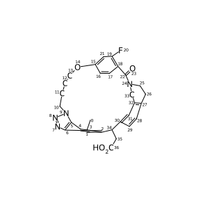 Cc1c2ccc3c1nnn3CCCCOc1ccc(c(F)c1)C(=O)N1CCc3ccc(cc3C1)C2CC(=O)O